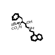 CC(C)(C)N(C(=O)O)[C@@H](Cc1ccccc1)[C@H](O)CNCCc1cccc2ccccc12